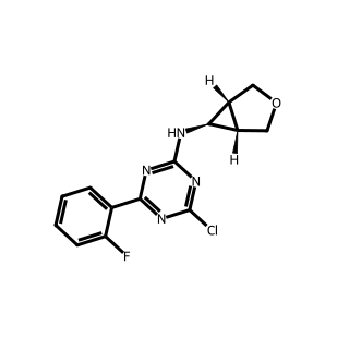 Fc1ccccc1-c1nc(Cl)nc(N[C@H]2[C@@H]3COC[C@@H]32)n1